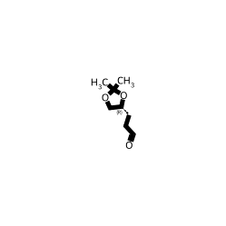 CC1(C)OC[C@@H](CCC=O)O1